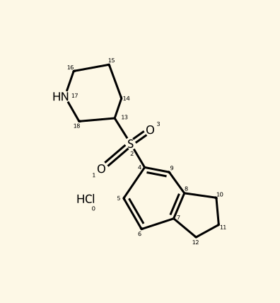 Cl.O=S(=O)(c1ccc2c(c1)CCC2)C1CCCNC1